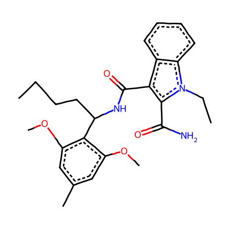 CCCCC(NC(=O)c1c(C(N)=O)n(CC)c2ccccc12)c1c(OC)cc(C)cc1OC